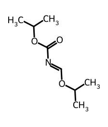 CC(C)OC=NC(=O)OC(C)C